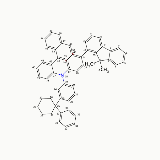 CC1(C)c2ccccc2-c2cccc(-c3ccc(N(c4ccc5c(c4)C4(CCCCC4)c4ccccc4-5)c4ccccc4-c4cccc5ccccc45)cc3)c21